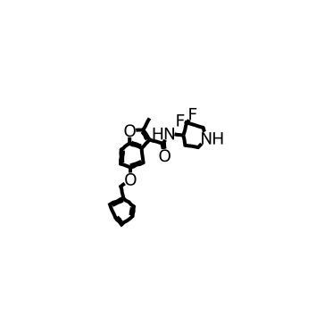 Cc1oc2ccc(OCc3ccccc3)cc2c1C(=O)NC1CCNCC1(F)F